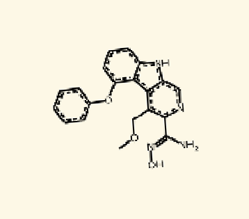 COCc1c(C(N)=NO)ncc2[nH]c3cccc(Oc4ccccc4)c3c12